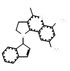 COc1cc(OC)c2nc(C)c3c(c2c1)N(C1C=Cc2ccccc21)CC3